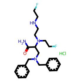 Cl.NC(=O)C(CN(Cc1ccccc1)Cc1ccccc1)N(CCF)CCNCCF